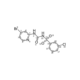 O=C(Nc1cc(Br)ccn1)NS(=O)(=O)c1cccc(Cl)c1